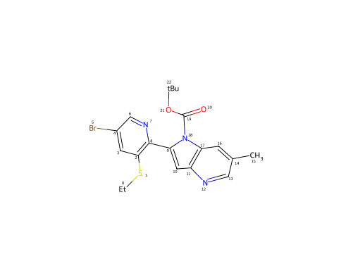 CCSc1cc(Br)cnc1-c1cc2ncc(C)cc2n1C(=O)OC(C)(C)C